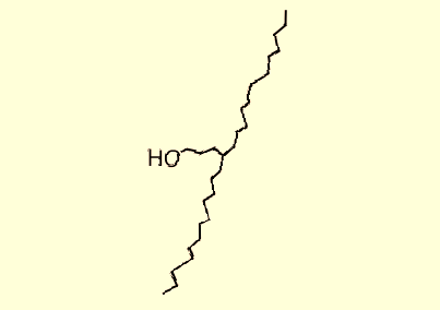 CCCCCCCCCCCCC(CCCO)CCCCCCCCCCCC